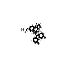 Cc1ccc(-n2nccn2)c(C(=O)NC(c2cccc(F)c2Cl)[C@]2(O)CC[C@@H](F)CC2)n1